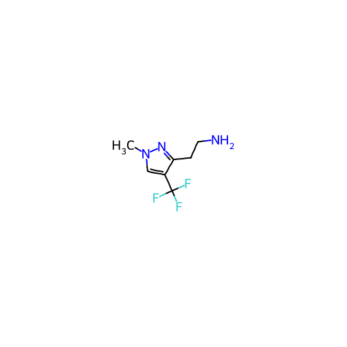 Cn1cc(C(F)(F)F)c(CCN)n1